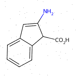 NC1=Cc2ccccc2C1C(=O)O